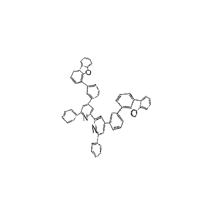 c1ccc(-c2cc(-c3cccc(-c4cccc5c4oc4ccccc45)c3)cc(-c3cc(-c4cccc(-c5cccc6c5oc5ccccc56)c4)cc(-c4ccccc4)n3)n2)cc1